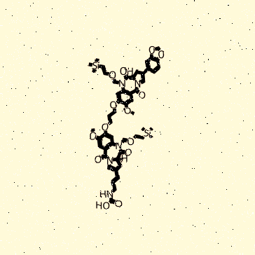 COc1cc2c(cc1OCCCOc1cc3c(cc1OC)C(=O)N1C=C(c4ccc5c(c4)OCO5)C[C@H]1C(=O)N3COCC[Si](C)(C)C)N(COCC[Si](C)(C)C)C(=O)[C@@H]1CC(C=CCNC(=O)O)=CN1C2=O